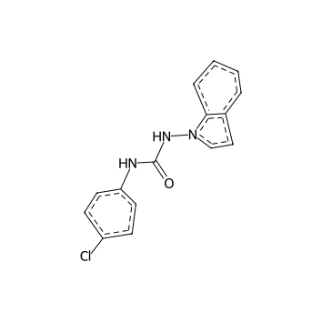 O=C(Nc1ccc(Cl)cc1)Nn1ccc2ccccc21